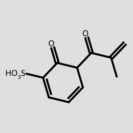 C=C(C)C(=O)C1C=CC=C(S(=O)(=O)O)C1=O